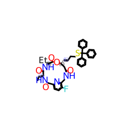 C/C=C1\NC(=O)c2ccc(F)c(n2)CNC(=O)C[C@@H](/C=C/CCSC(c2ccccc2)(c2ccccc2)c2ccccc2)OC(=O)[C@H](CC)NC1=O